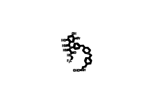 CC(C)c1cc(C(=N)N(C(=N)C(=O)NCC(F)(F)F)c2ccc(CC3CCN(Cc4ccc(CCNC=O)cc4)CC3)cc2)c(O)cc1O